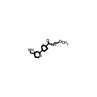 COCCNC(=O)c1ccc(-c2cc(CN)ccn2)cc1